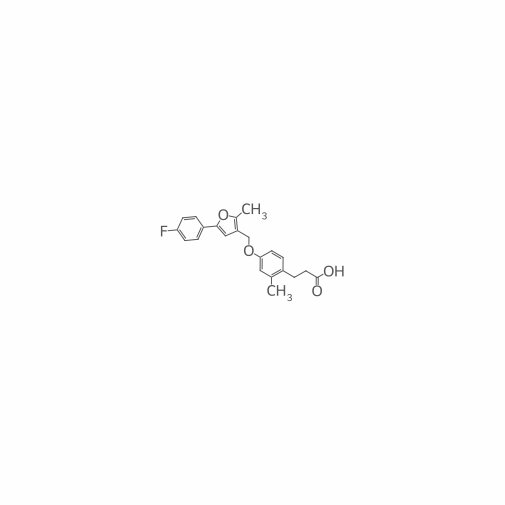 Cc1cc(OCc2cc(-c3ccc(F)cc3)oc2C)ccc1CCC(=O)O